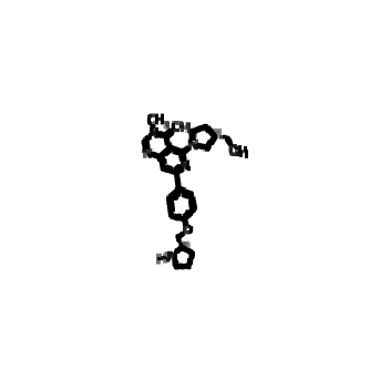 C=C1c2c(cc(-c3ccc(OC[C@H]4CCCN4)cc3)nc2N2CC[C@H](CO)C2)N=CN1C